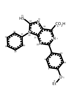 CCOc1ccc(-c2nc(C(=O)O)c3nc(S)n(-c4ccccc4)c3n2)cc1